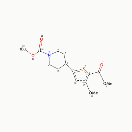 COC(=O)c1sc(C2CCN(C(=O)OC(C)(C)C)CC2)cc1OC